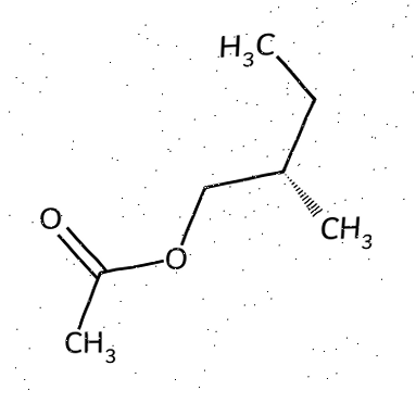 CC[C@H](C)COC(C)=O